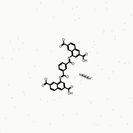 O=C([O-])c1ccc2cc(C(=O)O)cc(N=C([O-])c3cccc(C([O-])=Nc4cc(C(=O)O)cc5ccc(C(=O)[O-])cc45)c3)c2c1.[Na+].[Na+].[Na+].[Na+]